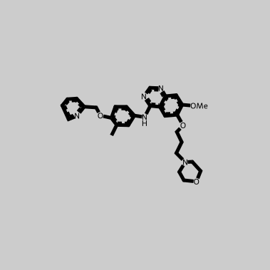 COc1cc2ncnc(Nc3ccc(OCc4ccccn4)c(C)c3)c2cc1OCCCN1CCOCC1